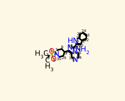 CC(C)S(=O)(=O)N1CCC(C2=C3C=NC=C[N+]3(N)C(c3cc4ccccc4[nH]3)=N2)CC1